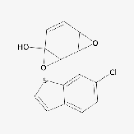 Clc1ccc2ccsc2c1.OC12C=CC3OC3C1O2